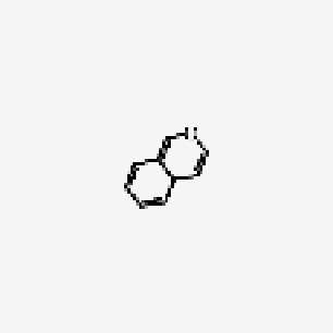 [C]1=CC=CC2=COC=CC12